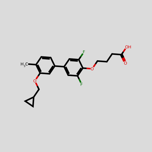 Cc1ccc(-c2cc(F)c(OCCCC(=O)O)c(F)c2)cc1OCC1CC1